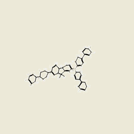 CC1(C)C2=CC(N(C3=CC=C(C4=CCCC=C4)CC3)C3C=CC(C4=CC=CCC4)=CC3)=CCC2C2C=CC(C3CCC(C4C=CC=CC4)CC3)=CC21